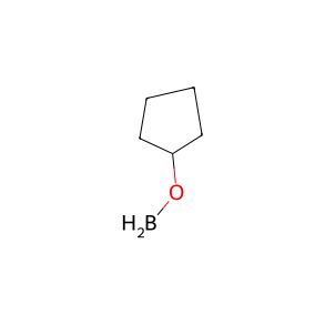 BOC1CCCC1